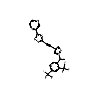 CC(c1ccc(C(F)(F)F)cc1C(F)(F)F)n1cc(C#Cc2nnc(-c3cnccn3)s2)cn1